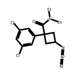 CCN(CC)C(=O)C1(c2cc(Cl)cc(Cl)c2)CC(N=[N+]=[N-])C1